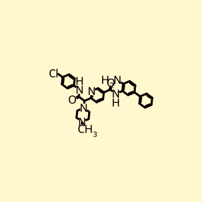 CN1CCN(C(C(=O)Nc2ccc(Cl)cc2)c2ccc(C(=O)Nc3cc(-c4ccccc4)ccc3N)cn2)CC1